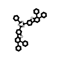 c1ccc(-c2nc(-c3ccc4c(c3)oc3c(-c5ccccc5)c(-c5ccccc5)ccc34)nc(-c3ccc4c(c3)oc3c(-c5ccccc5)c(-c5ccccc5)ccc34)n2)cc1